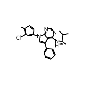 Cc1ccc(-n2cc(-c3ccccc3)c3c(N[C@H](C)C(C)C)ncnc32)cc1Cl